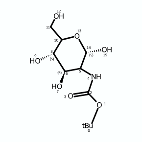 CC(C)(C)OC(=O)NC1[C@@H](O)[C@H](O)C(CO)O[C@@H]1O